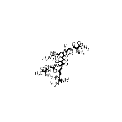 CC(C)[C@@H](N)C(=O)NCC(=O)N[C@@H](CCCNC(=N)N)C(=O)C(Cl)C(=O)C(Cl)C(=O)[C@H](CCCNC(=N)N)NC(=O)CNC(=O)[C@H](N)C(C)C